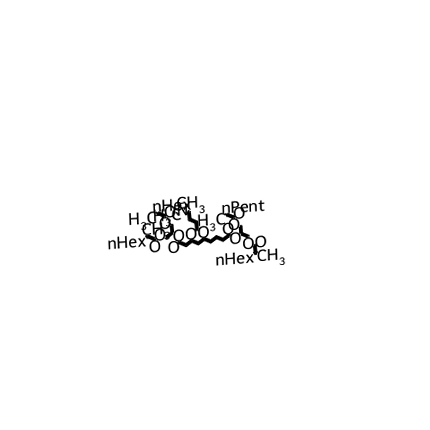 CCCCCCC(C)C(=O)OCC(COC(=O)C(C)CCCCC)OC(=O)CCCC(CCCC(=O)OC(COC(=O)C(C)CCCCCC)COC(=O)C(C)CCCCCC)OC(=O)CCCN(C)C